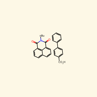 CCCCN1C(=O)c2cccc3cccc(c23)C1=O.O=C(O)c1ccc(-c2ccccc2)cc1